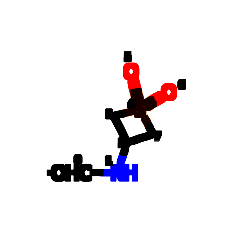 O=[C]NC1CS(=O)(=O)C1